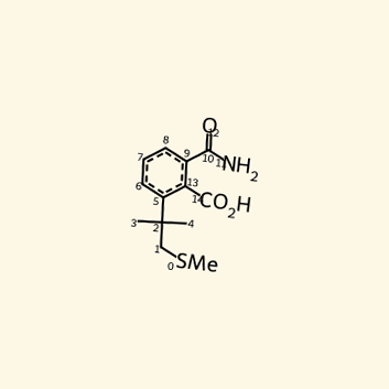 CSCC(C)(C)c1cccc(C(N)=O)c1C(=O)O